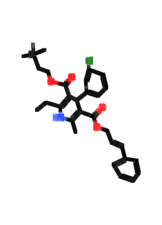 CCC1=C(C(=O)OCC[Si](C)(C)C)C(c2cccc(Cl)c2)C(C(=O)OC/C=C/c2ccccc2)=C(C)N1